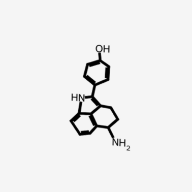 NC1CCc2c(-c3ccc(O)cc3)[nH]c3cccc1c23